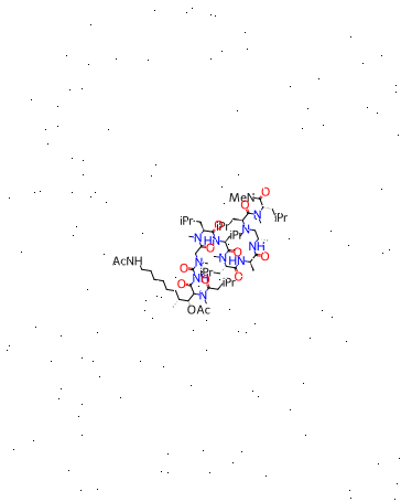 CNC(=O)[C@H](CC(C)C)N(C)C(=O)[C@H](CC(C)C)N(C)C[C@H](C)NC(=O)[C@@H](C)NC(=O)[C@H](CC(C)C)N(C)C(=O)[C@@H](NC(=O)[C@H](CC(C)C)N(C)C(=O)CN(C)C(=O)NC(=O)C([C@H](OC(C)=O)[C@H](C)CCCCCCNC(C)=O)N(C)C(=O)CC(C)C)C(C)C